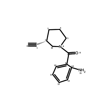 C#C[C@@H]1CCCN(C(=O)c2ccccc2N)C1